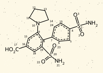 NS(=O)(=O)c1ccc(-c2c(N3CCCC3)cc(C(=O)O)cc2S(N)(=O)=O)cc1